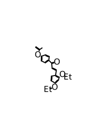 C=C(C)Oc1ccc(C(=O)C=Cc2ccc(OCC)cc2OCC)cc1